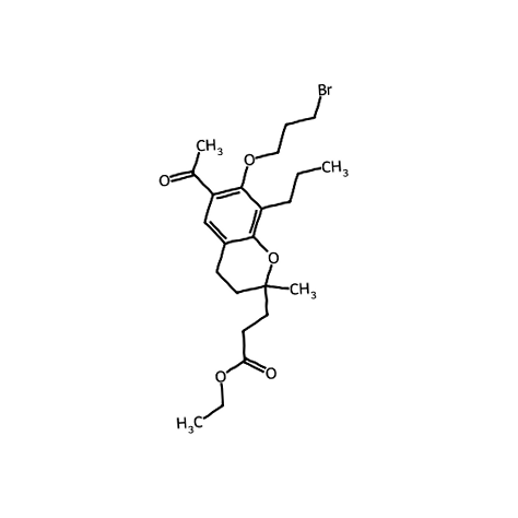 CCCc1c2c(cc(C(C)=O)c1OCCCBr)CCC(C)(CCC(=O)OCC)O2